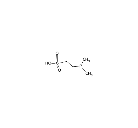 CP(C)CCS(=O)(=O)O